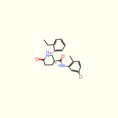 CCc1ccccc1[C@H]1NC(=O)CC[C@@H]1C(=O)Nc1cc(Cl)ccc1C